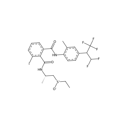 CC[S+]([O-])C[C@H](C)NC(=O)c1c(I)cccc1C(=O)Nc1ccc(C(C(F)F)C(F)(F)F)cc1C